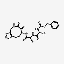 CC(C)C(NC(=O)OCc1ccccc1)C(=O)NC(C(=O)NC1CCc2snnc2CNC(=O)C1=O)C(C)C